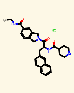 CCNC(=O)c1ccc2c(c1)CN(C(=O)C(Cc1ccc3ccccc3c1)NC(=O)C1CCNCC1)C2.Cl